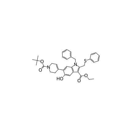 CCOC(=O)c1c(CSc2ccccc2)n(Cc2ccccc2)c2cc(C3=CCN(C(=O)OC(C)(C)C)CC3)c(O)cc12